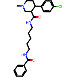 CN1CCC(c2ccc(Cl)cc2)C(C(=O)NCCCCCNC(=O)c2ccccc2)C1